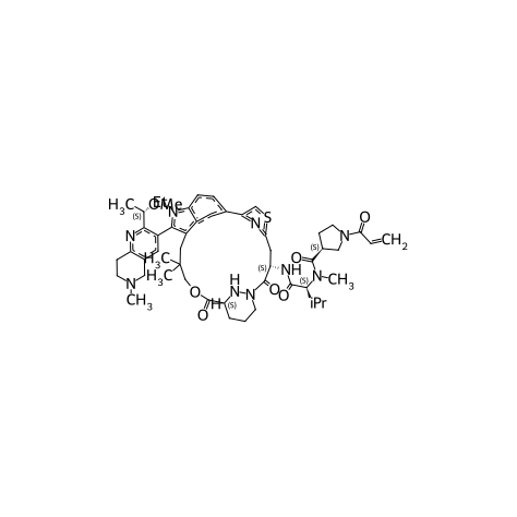 C=CC(=O)N1CC[C@H](C(=O)N(C)[C@H](C(=O)N[C@H]2Cc3nc(cs3)-c3ccc4c(c3)c(c(-c3cc5c(nc3[C@H](C)OC)CCN(C)C5)n4CC)CC(C)(C)COC(=O)[C@@H]3CCCN(N3)C2=O)C(C)C)C1